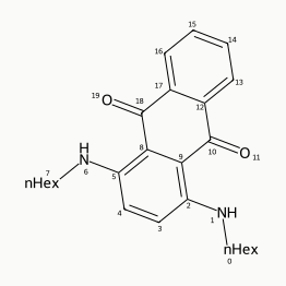 CCCCCCNc1ccc(NCCCCCC)c2c1C(=O)c1ccccc1C2=O